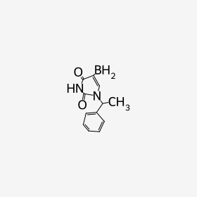 Bc1cn(C(C)c2ccccc2)c(=O)[nH]c1=O